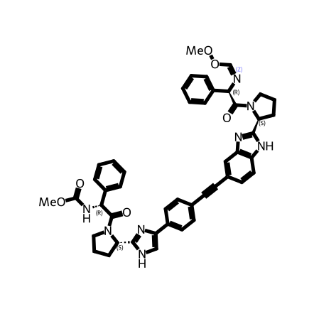 COO/C=N\[C@@H](C(=O)N1CCC[C@H]1c1nc2cc(C#Cc3ccc(-c4c[nH]c([C@@H]5CCCN5C(=O)[C@H](NC(=O)OC)c5ccccc5)n4)cc3)ccc2[nH]1)c1ccccc1